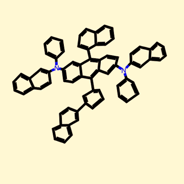 c1ccc(N(c2ccc3ccccc3c2)c2ccc3c(-c4cccc5ccccc45)c4cc(N(c5ccccc5)c5ccc6ccccc6c5)ccc4c(-c4cccc(-c5ccc6ccccc6c5)c4)c3c2)cc1